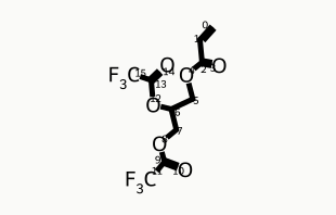 C=CC(=O)OCC(COC(=O)C(F)(F)F)OC(=O)C(F)(F)F